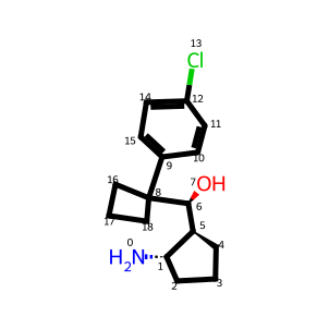 N[C@H]1CCC[C@@H]1[C@H](O)C1(c2ccc(Cl)cc2)CCC1